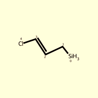 [SiH3]CC=CCl